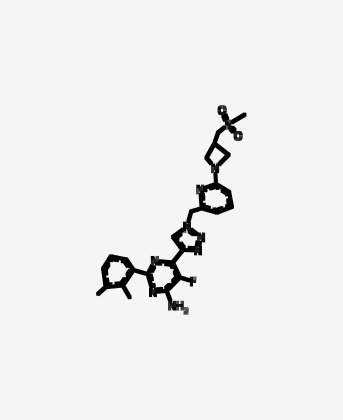 Cc1cccc(-c2nc(N)c(F)c(-c3cn(Cc4cccc(N5CC(CS(C)(=O)=O)C5)n4)nn3)n2)c1C